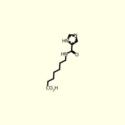 O=C(O)CCCCCCNC(=O)c1cnc[nH]1